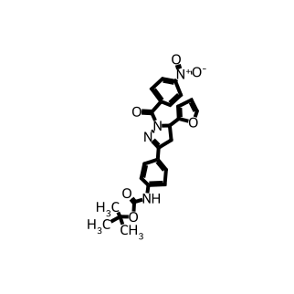 CC(C)(C)OC(=O)Nc1ccc(C2=NN(C(=O)c3ccc([N+](=O)[O-])cc3)C(c3ccco3)C2)cc1